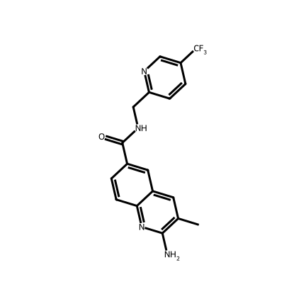 Cc1cc2cc(C(=O)NCc3ccc(C(F)(F)F)cn3)ccc2nc1N